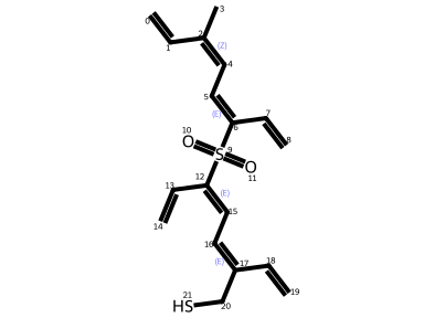 C=C/C(C)=C\C=C(/C=C)S(=O)(=O)/C(C=C)=C/C=C(\C=C)CS